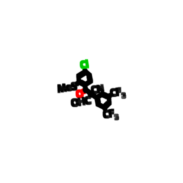 CSc1cc(Cl)ccc1C(=O)C(C#N)(C=O)c1cc(C(F)(F)F)cc(C(F)(F)F)c1